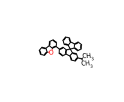 CC(C)c1ccc2c(c1)C1(c3ccccc3-c3ccccc31)c1cc(-c3cccc4c3oc3ccccc34)ccc1-2